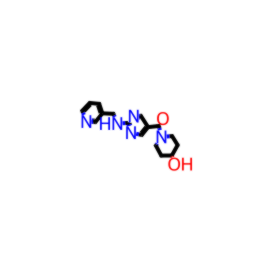 O=C(c1cnc(NCc2cccnc2)nc1)N1CCC(O)CC1